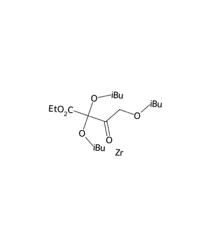 CCOC(=O)C(OC(C)CC)(OC(C)CC)C(=O)COC(C)CC.[Zr]